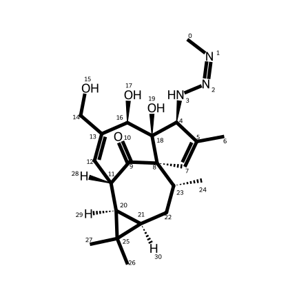 C/N=N\N[C@H]1C(C)=C[C@]23C(=O)[C@@H](C=C(CO)[C@@H](O)[C@]12O)[C@H]1[C@@H](C[C@H]3C)C1(C)C